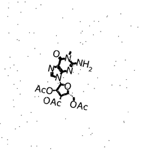 CC(=O)OC[C@H]1O[C@@H](n2cnc3c(=O)n(C)c(N)nc32)[C@H](OC(C)=O)[C@@H]1OC(C)=O